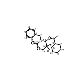 CC(OC1N(Cc2ccccc2)C(=O)OCC1(C)C)C1CCCCC1